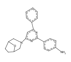 Nc1ccc(-c2nc(-c3ccccc3)cc(N3CC4CCC(C3)O4)n2)cc1